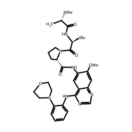 CN[C@@H](C)C(=O)N[C@H](C(=O)N1CCC[C@H]1C(=O)Nc1cc2c(Nc3ccccc3N3CCOCC3)ncnc2cc1OC)C(C)(C)C